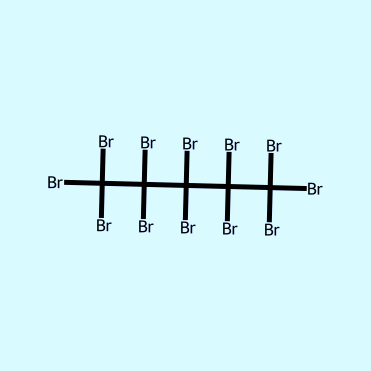 BrC(Br)(Br)C(Br)(Br)C(Br)(Br)C(Br)(Br)C(Br)(Br)Br